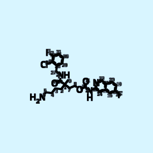 CC(CCCCN)(CCOC(=O)Nc1cc2cc(F)ccc2cn1)C(=O)NCc1cccc(F)c1Cl